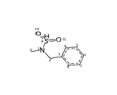 CN(Cc1ccccc1)[SH](=O)=O